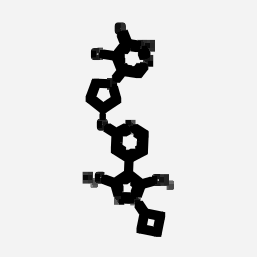 Cc1nn(C2CCC2)c(C)c1-c1ccnc(O[C@@H]2CCN(c3cn[nH]c(=O)c3Cl)C2)c1